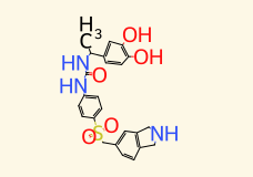 CC(NC(=O)Nc1ccc(S(=O)(=O)Cc2ccc3c(c2)CNC3)cc1)c1ccc(O)c(O)c1